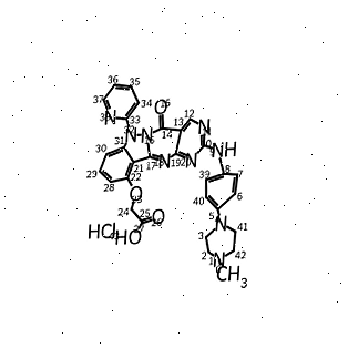 CN1CCN(c2ccc(Nc3ncc4c(=O)n5c(nc4n3)c3c(OCC(=O)O)cccc3n5-c3ccccn3)cc2)CC1.Cl